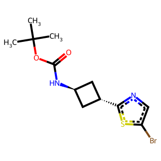 CC(C)(C)OC(=O)N[C@H]1C[C@H](c2ncc(Br)s2)C1